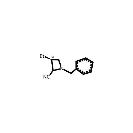 CC[C@H]1CN(Cc2ccccc2)C1C#N